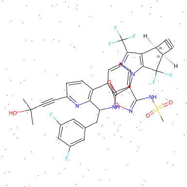 CC(C)(O)C#Cc1ccc(-c2cccc3c(NS(C)(=O)=O)noc23)c(C(Cc2cc(F)cc(F)c2)NC(=O)Cn2nc(C(F)(F)F)c3c2C(F)(F)[C@@H]2C#C[C@H]32)n1